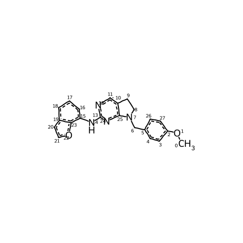 COc1ccc(CN2CCc3[c]nc(Nc4cccc5ccoc45)nc32)cc1